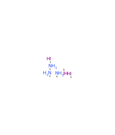 I.I.I.N.N.N